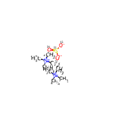 C[N+](C)(C)C.C[N+](C)(C)C.O=S([O-])[O-]